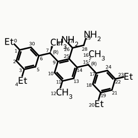 CCc1cc(CC)cc([C@@H](C)c2cc(C)cc([C@H](C)c3cc(CC)cc(CC)c3)c2C(N)CN)c1